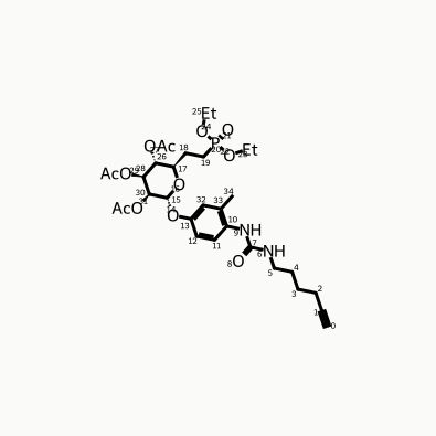 C#CCCCCNC(=O)Nc1ccc(O[C@H]2O[C@H](CCP(=O)(OCC)OCC)[C@@H](OC(C)=O)[C@H](OC(C)=O)[C@@H]2OC(C)=O)cc1C